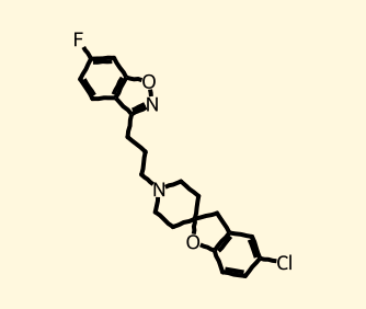 Fc1ccc2c(CCCN3CCC4(CC3)Cc3cc(Cl)ccc3O4)noc2c1